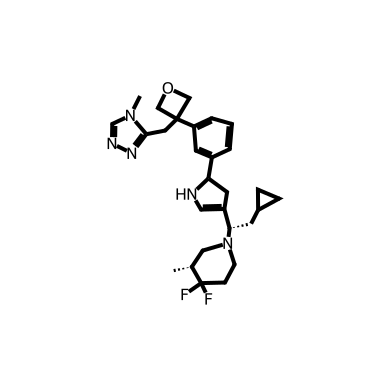 C[C@@H]1CN([C@@H](CC2CC2)C2=CNC(c3cccc(C4(Cc5nncn5C)COC4)c3)C2)CCC1(F)F